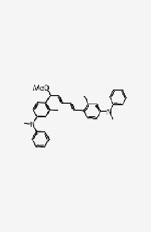 COC(C=CC=Cc1ccc(N(C)c2ccccc2)cc1C)c1ccc(N(C)c2ccccc2)cc1C